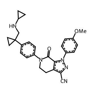 COc1ccc(-n2nc(C#N)c3c2C(=O)N(c2ccc(C4(CNC5CC5)CC4)cc2)CC3)cc1